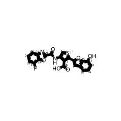 O=C(Nc1csc(-c2cc3cccc(O)c3o2)c1C(=O)O)c1nc2cccc(F)c2o1